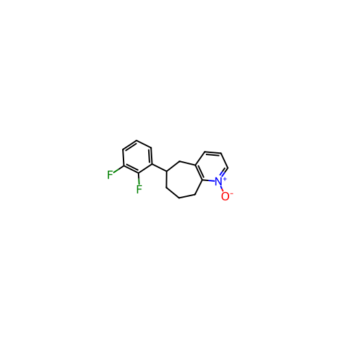 [O-][n+]1cccc2c1CCCC(c1cccc(F)c1F)C2